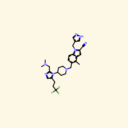 Cc1c(CN2CCC(n3c(CCC(F)(F)F)cnc3CN(C)C)CC2)ccc2c1cc(C#N)n2Cc1cn[nH]c1